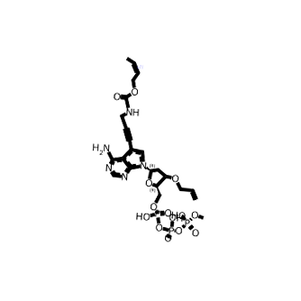 C=CCOC1C[C@H](n2cc(C#CCNC(=O)OC/C=C\C)c3c(N)ncnc32)O[C@@H]1COP(=O)(O)OP(=O)(O)OP(=O)(O)OC